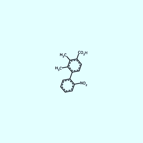 Cc1c(C(=O)O)ccc(-c2ccccc2[N+](=O)[O-])c1C